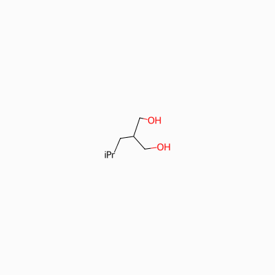 CC(C)CC(CO)CO